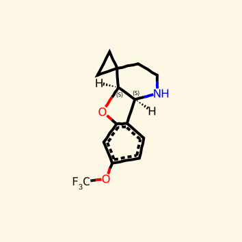 FC(F)(F)Oc1ccc2c(c1)O[C@@H]1[C@H]2NCCC12CC2